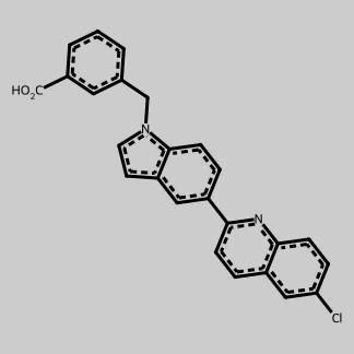 O=C(O)c1cccc(Cn2ccc3cc(-c4ccc5cc(Cl)ccc5n4)ccc32)c1